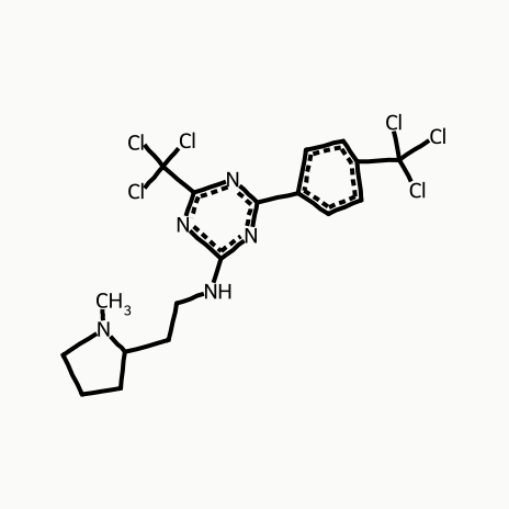 CN1CCCC1CCNc1nc(-c2ccc(C(Cl)(Cl)Cl)cc2)nc(C(Cl)(Cl)Cl)n1